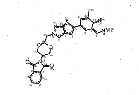 CN/C=C1/C=C(c2cc3cn(CC4OCC(N5C(=O)c6ccccc6C5=O)CO4)nc3s2)C=C(F)C1=N